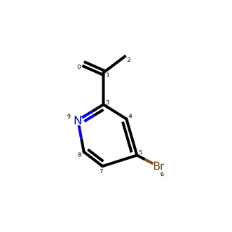 C=C(C)c1cc(Br)ccn1